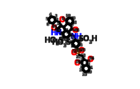 O=C(c1ccccc1)c1c2c3c(c(Nc4c(S(=O)(=O)O)cc(S(=O)(=O)CCC5C(=O)c6ccccc6C5=O)cc4S(=O)(=O)O)cc(S(=O)(=O)O)c3[nH]c1=O)C(=O)c1ccccc1-2